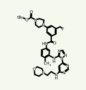 Cc1ccc(NC(=O)c2cc(CF)cc(N3CCN(C(=O)OC(C)(C)C)CC3)c2)cc1Nc1ncnn1-c1cc(NCCN2CCOCC2)ncn1